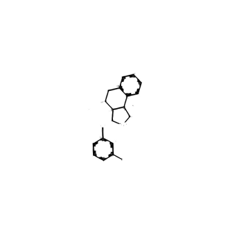 Cc1cccc(C[C@H]2NC[C@@H]3c4ccccc4CCC32)c1.Cl